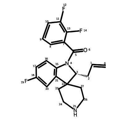 C=CC[C@H]1N(C(=O)c2cccc(F)c2F)c2ccc(F)cc2C12CCNCC2